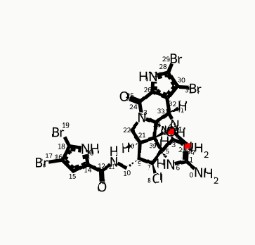 NC1=N[C@@H](O)[C@@]2(N1)[C@@H](Cl)[C@H](CNC(=O)c1cc(Br)c(Br)[nH]1)[C@H]1CN3C(=O)c4[nH]c(Br)c(Br)c4[C@@H]4N=C(N)N[C@@]43[C@@H]12